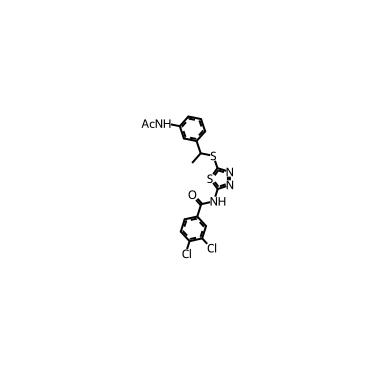 CC(=O)Nc1cccc(C(C)Sc2nnc(NC(=O)c3ccc(Cl)c(Cl)c3)s2)c1